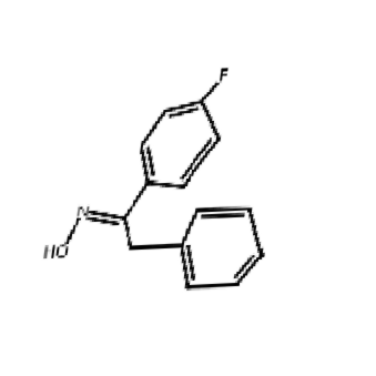 O/N=C(\Cc1ccccc1)c1ccc(F)cc1